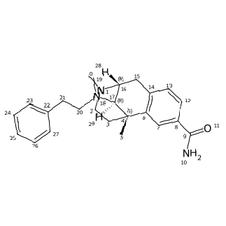 CN1CC[C@@]2(C)c3cc(C(N)=O)ccc3C[C@@H]1[C@@H]2N(C)CCc1ccccc1